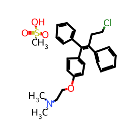 CN(C)CCOc1ccc(/C(=C(/CCCl)c2ccccc2)c2ccccc2)cc1.CS(=O)(=O)O